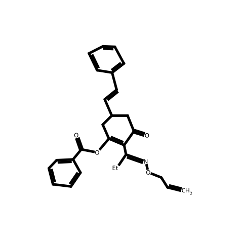 C=CCON=C(CC)C1=C(OC(=O)c2ccccc2)CC(C=Cc2ccccc2)CC1=O